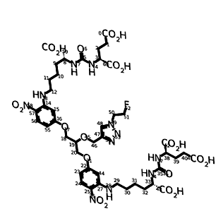 O=C(O)CC[C@H](NC(=O)N[C@H](CCCCNc1cc(OCC(COc2ccc([N+](=O)[O-])c(NCCCC[C@H](NC(=O)N[C@H](CCC(=O)O)C(=O)O)C(=O)O)c2)OCc2cn(CCF)nn2)ccc1[N+](=O)[O-])C(=O)O)C(=O)O